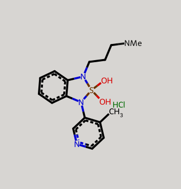 CNCCCN1c2ccccc2N(c2cnccc2C)S1(O)O.Cl